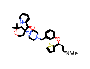 CNCC[C@H](Oc1cccc(CN2CCN(C3(C(=O)c4ccccn4)CCOC(C)(C)C3)CC2)c1)c1cccs1